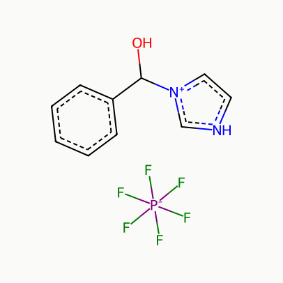 F[P-](F)(F)(F)(F)F.OC(c1ccccc1)[n+]1cc[nH]c1